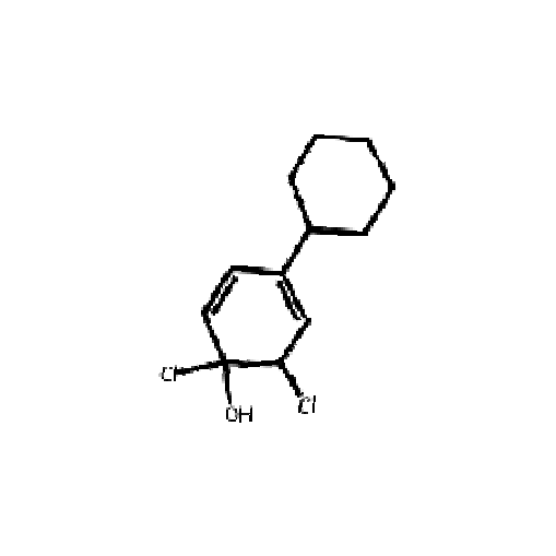 OC1(Cl)C=CC(C2CCCCC2)=CC1Cl